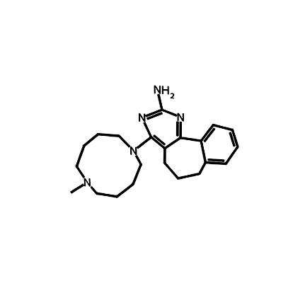 CN1CCCCN(c2nc(N)nc3c2CCCc2ccccc2-3)CCCC1